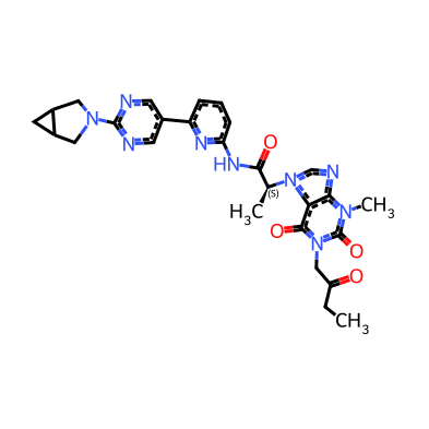 CCC(=O)Cn1c(=O)c2c(ncn2[C@@H](C)C(=O)Nc2cccc(-c3cnc(N4CC5CC5C4)nc3)n2)n(C)c1=O